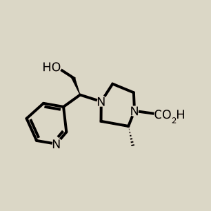 C[C@@H]1CN([C@H](CO)c2cccnc2)CCN1C(=O)O